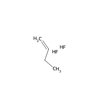 C=CCC.F.F